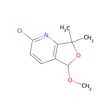 COC1OC(C)(C)c2nc(Cl)ccc21